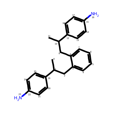 CC(Cc1ccccc1CC(C)c1ccc(N)cc1)c1ccc(N)cc1